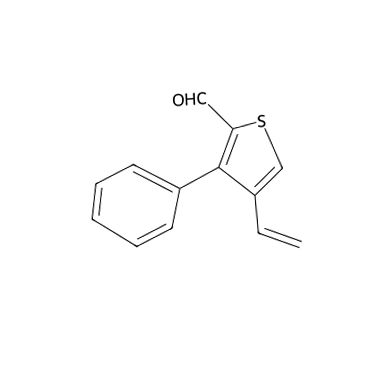 C=Cc1csc(C=O)c1-c1ccccc1